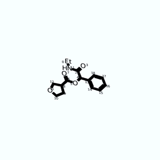 CCNC(=O)C(OC(=O)C1CCOC1)c1ccccc1